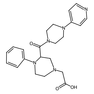 O=C(O)CN1CCN(c2ccccc2)C(C(=O)N2CCN(c3ccncc3)CC2)C1